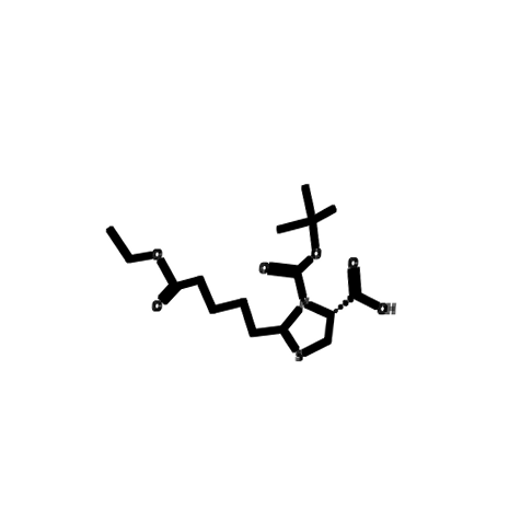 CCOC(=O)CCCCC1SC[C@@H](C(=O)O)N1C(=O)OC(C)(C)C